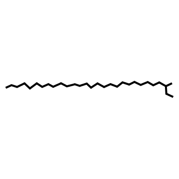 CCCCCCCCCCCCCCCCCCCCCCCCCCC(C)CC